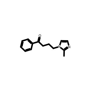 Cc1nccn1CCCC(=O)c1ccccc1